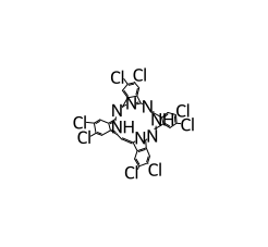 Clc1cc2c(cc1Cl)-c1nc-2cc2[nH]c(nc3nc(nc4[nH]c(n1)c1cc(Cl)c(Cl)cc41)-c1cc(Cl)c(Cl)cc1-3)c1cc(Cl)c(Cl)cc21